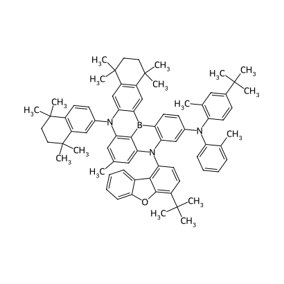 Cc1cc2c3c(c1)N(c1ccc(C(C)(C)C)c4oc5ccccc5c14)c1cc(N(c4ccccc4C)c4ccc(C(C)(C)C)cc4C)ccc1B3c1cc3c(cc1N2c1ccc2c(c1)C(C)(C)CCC2(C)C)C(C)(C)CCC3(C)C